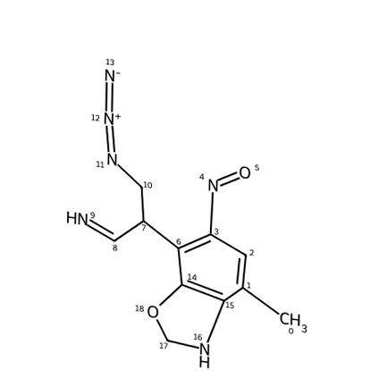 Cc1cc(N=O)c(C(C=N)CN=[N+]=[N-])c2c1NCO2